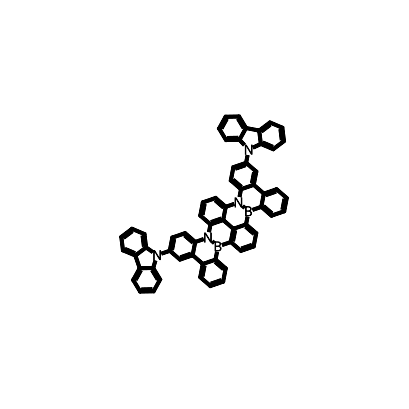 c1ccc2c(c1)B1c3cccc4c3-c3c(cccc3N3B4c4ccccc4-c4cc(-n5c6ccccc6c6ccccc65)ccc43)N1c1ccc(-n3c4ccccc4c4ccccc43)cc1-2